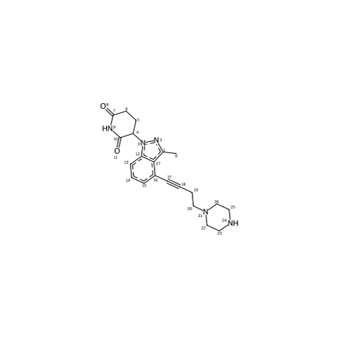 Cc1nn(C2CCC(=O)NC2=O)c2cccc(C#CCCN3CCNCC3)c12